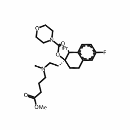 COC(=O)CCCN(C)CC[C@@]1(OC(=O)N2CCOCC2)CCc2cc(F)ccc2[C@@H]1C(C)C